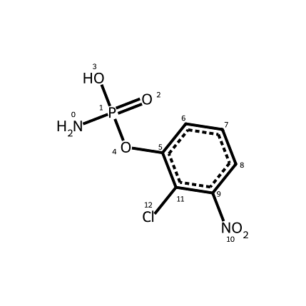 NP(=O)(O)Oc1cccc([N+](=O)[O-])c1Cl